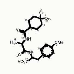 COc1ccc(CC(NC(=O)C(C)NC(=O)C2CCC(C)(O)CC2)C(=O)O)cc1